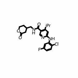 CC(C)c1cc(Nc2cc(F)ccc2Cl)ncc1C(=O)NCC1CCOC(=O)C1